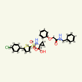 O=C(COc1ccccc1[C@@H]1C[C@@]1(NS(=O)(=O)c1ccc(-c2ccc(Cl)cc2)s1)C(=O)O)NCc1ccccc1